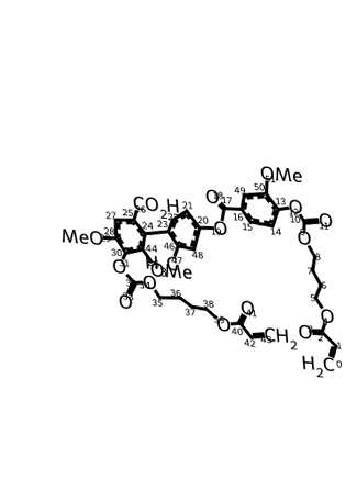 C=CC(=O)OCCCCOC(=O)Oc1ccc(C(=O)Oc2ccc(-c3c(C(=O)O)cc(OC)c(OC(=O)OCCCCOC(=O)C=C)c3OC)c(C)c2)cc1OC